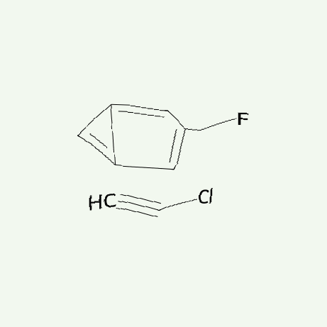 C#CCl.Fc1cc2cc-2c1